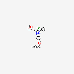 CC1(C)OC[C@H](CCc2c(Br)c(-c3ccccc3)nn2C[C@H]2CC[C@H](COCC(=O)O)CC2)O1